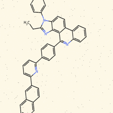 CCc1nc2c3c(-c4ccc(-c5cccc(-c6ccc7ccccc7c6)n5)cc4)nc4ccccc4c3ccc2n1-c1ccccc1